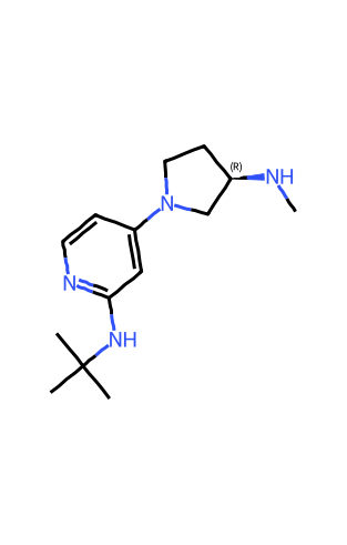 CN[C@@H]1CCN(c2ccnc(NC(C)(C)C)c2)C1